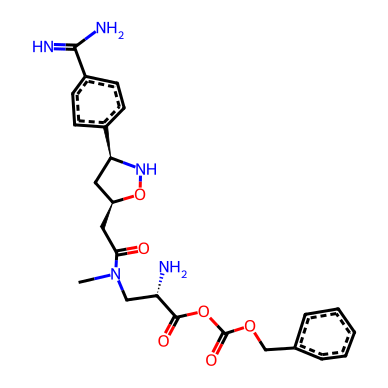 CN(C[C@H](N)C(=O)OC(=O)OCc1ccccc1)C(=O)C[C@H]1C[C@@H](c2ccc(C(=N)N)cc2)NO1